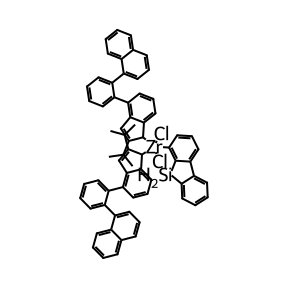 CC(C)C1=Cc2c(-c3ccccc3-c3cccc4ccccc34)cccc2[CH]1[Zr]([Cl])([Cl])([c]1cccc2c1[SiH2]c1ccccc1-2)[CH]1C(C(C)C)=Cc2c(-c3ccccc3-c3cccc4ccccc34)cccc21